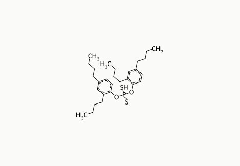 CCCCc1ccc(OP(=S)(S)Oc2ccc(CCCC)cc2CCCC)c(CCCC)c1